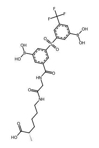 C[C@@H](CCCCNC(=O)CNC(=O)c1cc(B(O)O)cc(S(=O)(=O)c2cc(B(O)O)cc(C(F)(F)F)c2)c1)C(=O)O